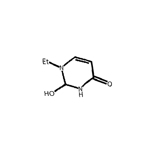 CCN1C=CC(=O)NC1O